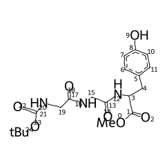 COC(=O)C(Cc1ccc(O)cc1)NC(=O)CNC(=O)CNC(=O)OC(C)(C)C